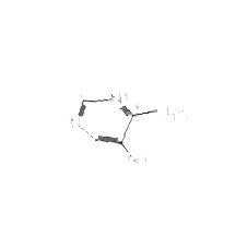 Nc1cncnc1C=O